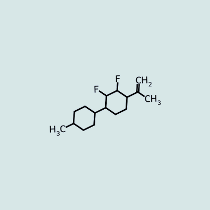 C=C(C)C1CCC(C2CCC(C)CC2)C(F)C1F